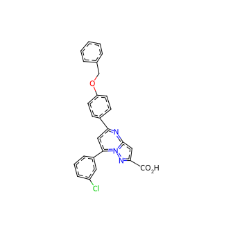 O=C(O)c1cc2nc(-c3ccc(OCc4ccccc4)cc3)cc(-c3cccc(Cl)c3)n2n1